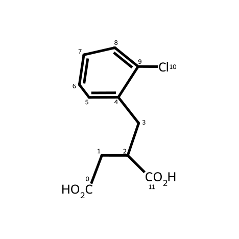 O=C(O)CC(Cc1ccccc1Cl)C(=O)O